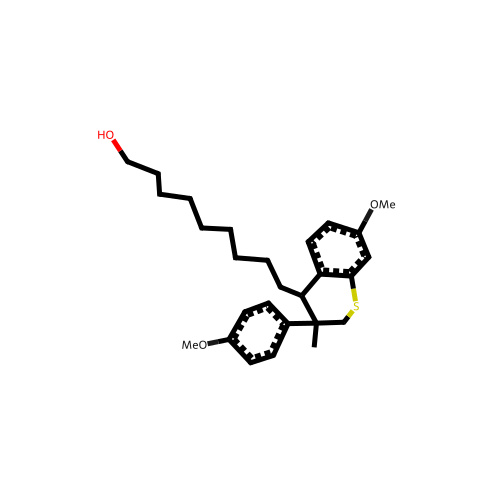 COc1ccc(C2(C)CSc3cc(OC)ccc3C2CCCCCCCCCO)cc1